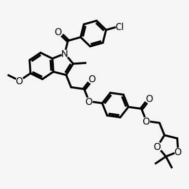 COc1ccc2c(c1)c(CC(=O)Oc1ccc(C(=O)OCC3COC(C)(C)O3)cc1)c(C)n2C(=O)c1ccc(Cl)cc1